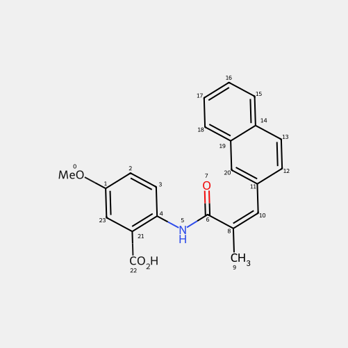 COc1ccc(NC(=O)C(C)=Cc2ccc3ccccc3c2)c(C(=O)O)c1